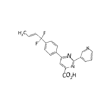 C/C=C/C(F)(F)c1ccc(-c2cc(C(=O)O)nc(-c3cccnc3)n2)cc1